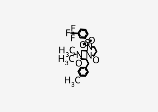 Cc1ccc(CC2C(=O)N(C(C)C)CC3N2C(=O)CCN3S(=O)(=O)c2cccc(C(F)(F)F)c2)cc1